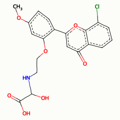 COc1ccc(-c2cc(=O)c3cccc(Cl)c3o2)c(OCCNC(O)C(=O)O)c1